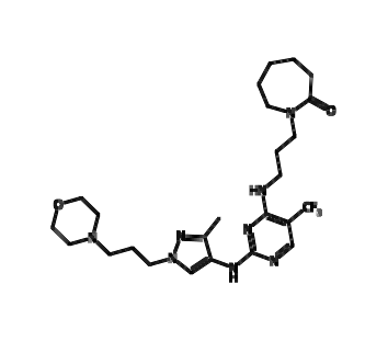 Cc1nn(CCCN2CCOCC2)cc1Nc1ncc(C(F)(F)F)c(NCCCN2CCCCCC2=O)n1